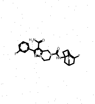 NC(=O)c1c(-c2cccc(F)c2)nn2c1CN(C(=O)NC13CC4CC(F)=C1C(C4)C3)CC2